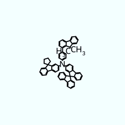 CC1(C)c2ccccc2-c2cccc(-c3ccc(N(c4ccc5c(c4)C4(CCCC4)c4ccccc4-5)c4ccc5c(c4)C4(c6ccccc6-c6ccccc64)c4ccccc4-5)cc3)c21